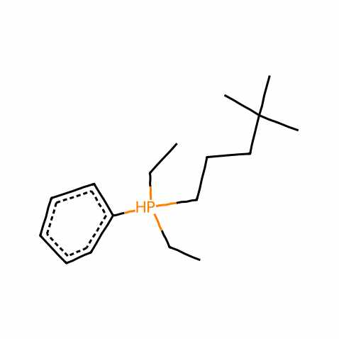 CC[PH](CC)(CCCC(C)(C)C)c1ccccc1